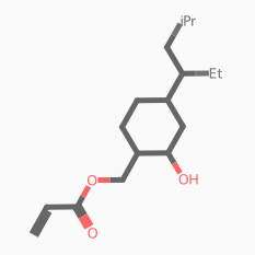 C=CC(=O)OCC1CCC(C(CC)CC(C)C)CC1O